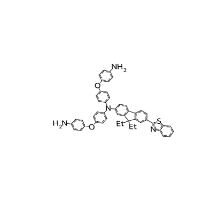 CCC1(CC)c2cc(-c3nc4ccccc4s3)ccc2-c2ccc(N(c3ccc(Oc4ccc(N)cc4)cc3)c3ccc(Oc4ccc(N)cc4)cc3)cc21